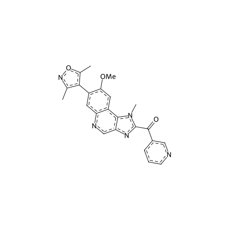 COc1cc2c(cc1-c1c(C)noc1C)ncc1nc(C(=O)c3cccnc3)n(C)c12